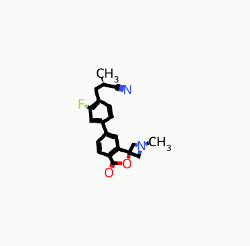 C[C@H](C#N)Cc1ccc(-c2ccc3c(c2)C2(CN(C)C2)OC3=O)cc1F